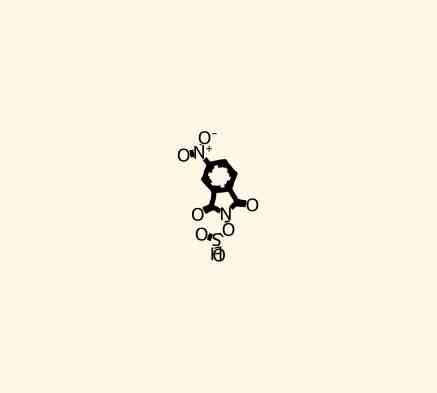 O=C1c2ccc([N+](=O)[O-])cc2C(=O)N1O[SH](=O)=O